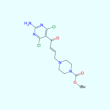 CC(C)(C)OC(=O)N1CCN(C/C=C/C(=O)c2c(Cl)nc(N)nc2Cl)CC1